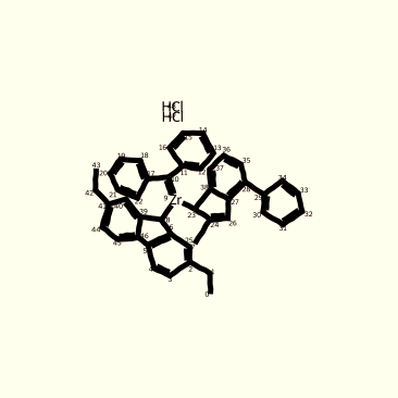 CCc1ccc2c(c1)[CH]([Zr](=[C](c1ccccc1)c1ccccc1)[CH]1C(C)=Cc3c(-c4ccccc4)cccc31)c1cc(CC)ccc1-2.Cl.Cl